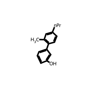 CCCc1ccc(-c2cccc(O)c2)c(C)c1